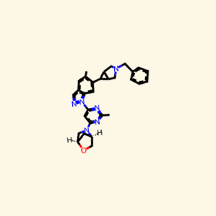 Cc1nc(N2C[C@H]3C[C@@H]2CO3)cc(-n2ncc3cc(C)c(C4C5CN(Cc6ccccc6)CC54)cc32)n1